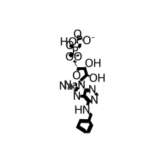 O=P([O-])(O)CP(=O)([O-])OC[C@H]1O[C@@H](n2cnc3c(NCc4ccccc4)ncnc32)[C@H](O)[C@@H]1O.[Na+].[Na+]